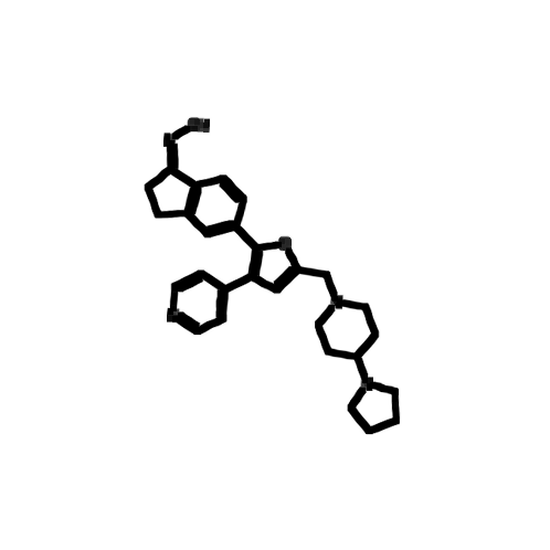 O/N=C1/CCc2cc(-c3oc(CN4CCC(N5CCCC5)CC4)cc3-c3ccncc3)ccc21